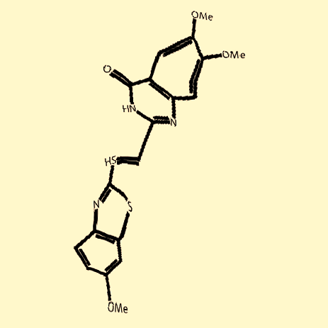 COc1ccc2nc([SH]=Cc3nc4cc(OC)c(OC)cc4c(=O)[nH]3)sc2c1